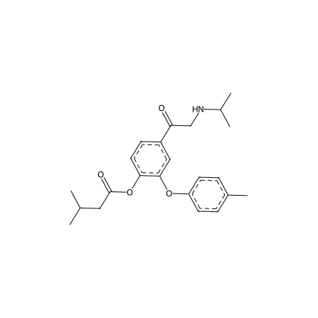 Cc1ccc(Oc2cc(C(=O)CNC(C)C)ccc2OC(=O)CC(C)C)cc1